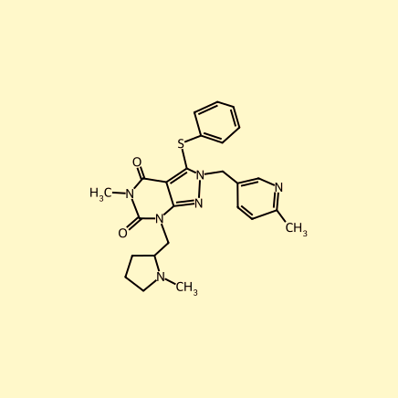 Cc1ccc(Cn2nc3c(c2Sc2ccccc2)c(=O)n(C)c(=O)n3CC2CCCN2C)cn1